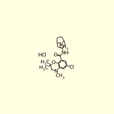 CN1CC(C)(C)Oc2c(C(=O)NC3CC4CCC(C3)N4C)cc(Cl)cc21.Cl